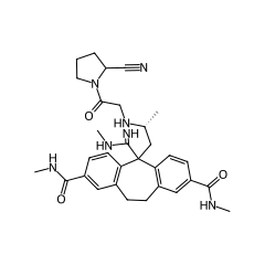 CNC(=N)C1(C[C@@H](C)NCC(=O)N2CCCC2C#N)c2ccc(C(=O)NC)cc2CCc2cc(C(=O)NC)ccc21